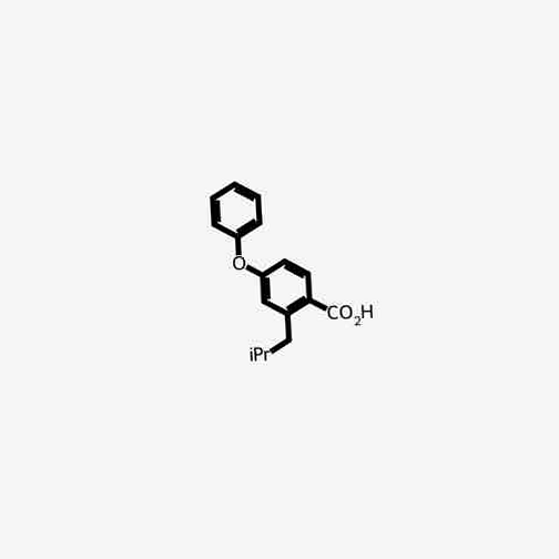 CC(C)Cc1cc(Oc2ccccc2)ccc1C(=O)O